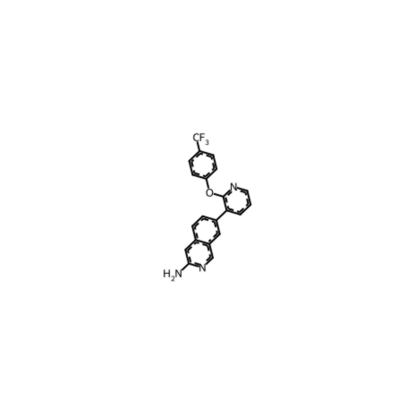 Nc1cc2ccc(-c3cccnc3Oc3ccc(C(F)(F)F)cc3)cc2cn1